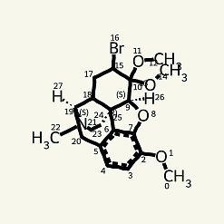 COc1ccc2c3c1O[C@@H]1C(OC)(OC)C(Br)CC4[C@H](C2)N(C)CC[C@]341